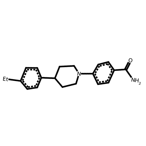 CCc1ccc(C2CCN(c3ccc(C(N)=O)cc3)CC2)cc1